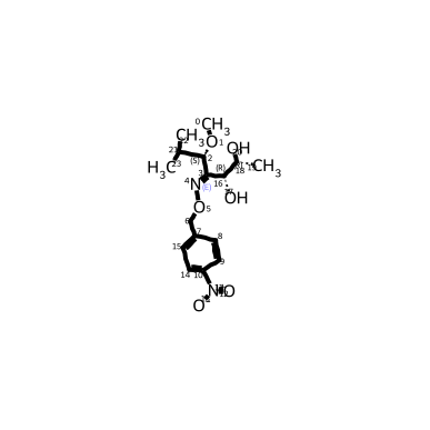 CO[C@H](/C(=N/OCc1ccc([N+](=O)[O-])cc1)[C@@H](O)[C@@H](C)O)C(C)C